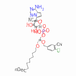 CCCCCCCCCCCCCCCCCCOC[C@H](COP(=O)(O)O[C@H]1O[C@@](C#N)(c2ccc3c(N)ncnn23)[C@H](O)[C@@H]1O)OCc1ccc(Cl)c(C#N)c1